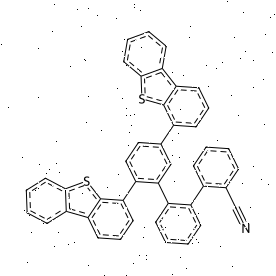 N#Cc1ccccc1-c1ccccc1-c1cc(-c2cccc3c2sc2ccccc23)ccc1-c1cccc2c1sc1ccccc12